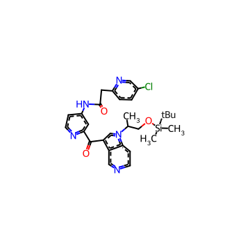 CC(CO[Si](C)(C)C(C)(C)C)n1cc(C(=O)c2cc(NC(=O)Cc3ccc(Cl)cn3)ccn2)c2cnccc21